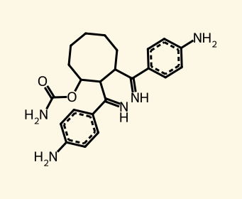 N=C(c1ccc(N)cc1)C1CCCCCC(OC(N)=O)C1C(=N)c1ccc(N)cc1